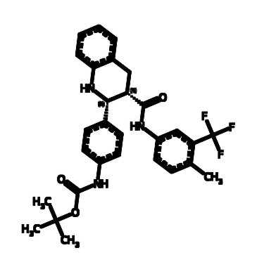 Cc1ccc(NC(=O)[C@H]2Cc3ccccc3N[C@H]2c2ccc(NC(=O)OC(C)(C)C)cc2)cc1C(F)(F)F